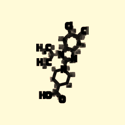 CC(C)n1c(N2CCC(C(=O)O)CC2)nc2cc(Cl)c(Cl)cc21